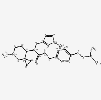 CC(C)COc1ccc(CNC(=O)N(Cc2ccn(C)n2)[C@@H]2CCN(C)CC23CC3)cc1